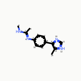 CN/C(C)=N/c1ccc(-c2nc[nH]c2C)cc1